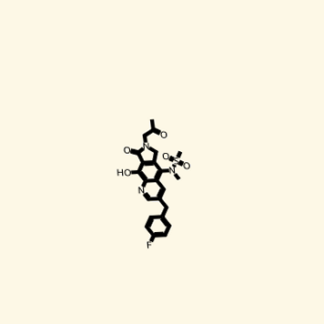 CC(=O)CN1Cc2c(c(O)c3ncc(Cc4ccc(F)cc4)cc3c2N(C)S(C)(=O)=O)C1=O